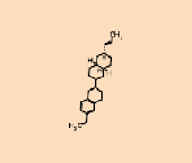 CC=C[C@@H]1CC[C@@H]2CC(C3CCc4cc(CC)ccc4C3)CC[C@@H]2C1